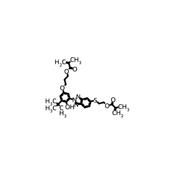 C=C(C)C(=O)OCCCOc1cc(-n2nc3ccc(SCCOC(=O)C(=C)C)cc3n2)c(O)c(C(C)(C)C)c1